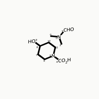 CN(C)C=O.O=C(O)N1CCC(O)CC1